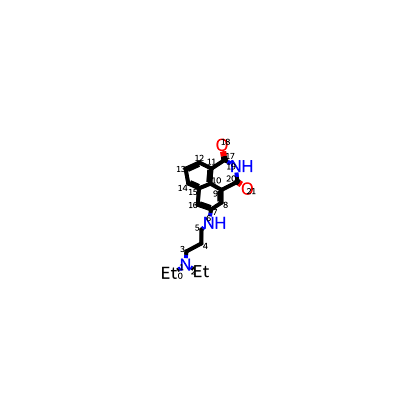 CCN(CC)CCCNc1cc2c3c(cccc3c1)C(=O)NC2=O